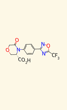 O=C(O)[C@@H]1COCC(=O)N1c1ccc(-c2noc(C(F)(F)F)n2)cc1